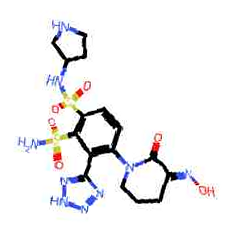 NS(=O)(=O)c1c(S(=O)(=O)NC2CCNC2)ccc(N2CCCC(=NO)C2=O)c1-c1nn[nH]n1